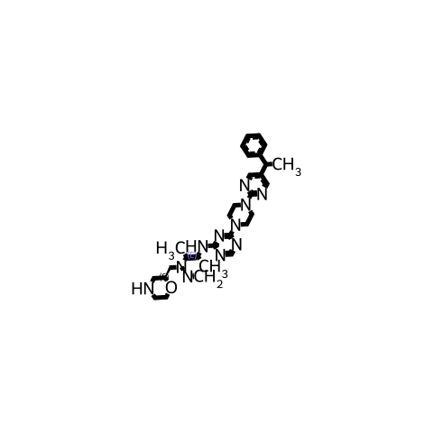 C=NN(C[C@@H]1CNCCO1)/C(C)=C(\C)Nc1ncnc(N2CCN(c3ncc(C(C)c4ccccc4)cn3)CC2)n1